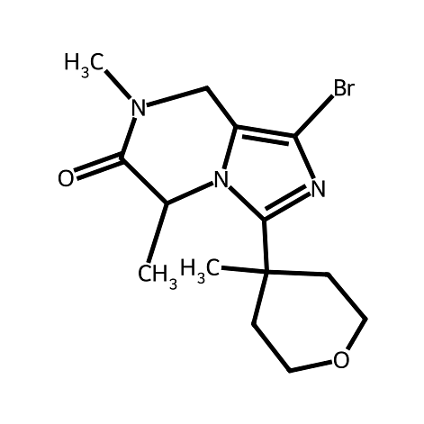 CC1C(=O)N(C)Cc2c(Br)nc(C3(C)CCOCC3)n21